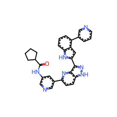 O=C(Nc1cncc(-c2ccc3[nH]nc(-c4cc5c(-c6cccnc6)cccc5[nH]4)c3n2)c1)C1CCCC1